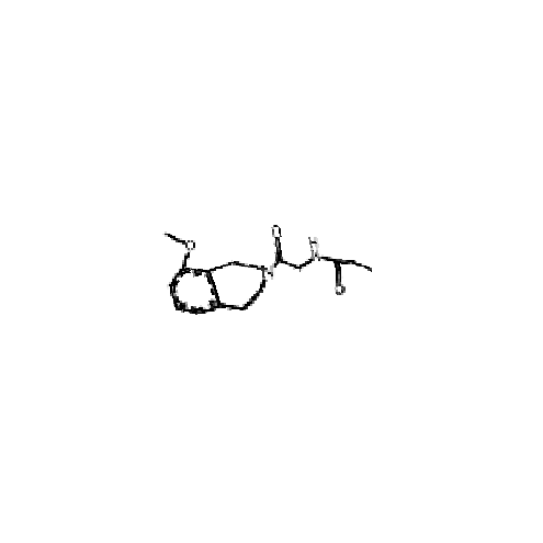 CCC(=O)NCC(=O)N1CCc2cccc(OC)c2C1